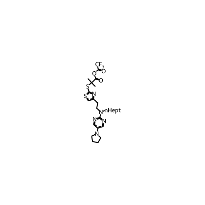 CCCCCCCN(CCc1csc(SC(C)(C)C(=O)OC(=O)C(F)(F)F)n1)c1ncc(N2CCCC2)cn1